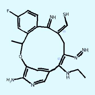 CCN/C1=C(\N=N)C/C(=C/S)C(=N)c2ccc(F)cc2C(C)Oc2cc1cnc2N